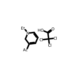 CCN1C=CC=C(C(C)=O)C1.O=C(O)C(Cl)(Cl)Cl